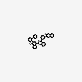 c1ccc(-c2cccc3oc4c5ccccc5c(-c5nc(-c6ccc7oc8cc9ccccc9cc8c7c6)c6ccccc6n5)cc4c23)cc1